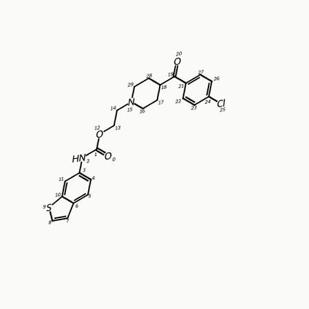 O=C(Nc1ccc2ccsc2c1)OCCN1CCC(C(=O)c2ccc(Cl)cc2)CC1